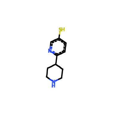 Sc1ccc(C2CCNCC2)nc1